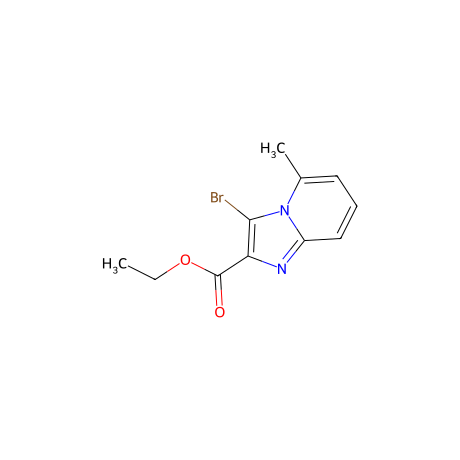 CCOC(=O)c1nc2cccc(C)n2c1Br